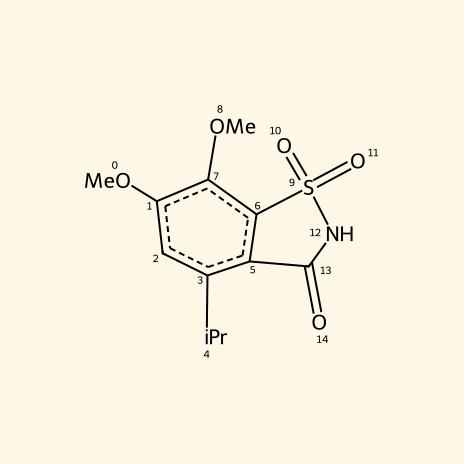 COc1cc(C(C)C)c2c(c1OC)S(=O)(=O)NC2=O